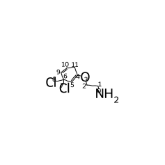 NCCOC1=CC(Cl)(Cl)C=CC1